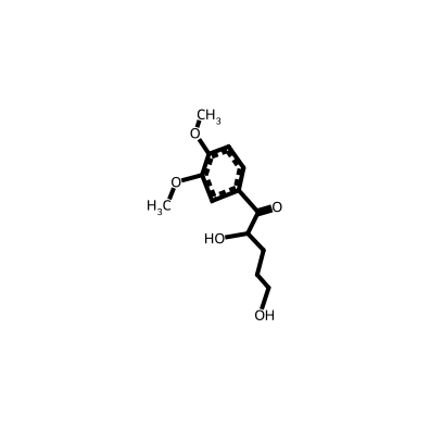 COc1ccc(C(=O)C(O)CCCO)cc1OC